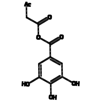 CC(=O)CC(=O)OC(=O)c1cc(O)c(O)c(O)c1